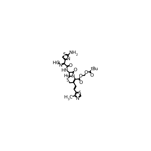 Cc1ncsc1C=CC1=C(C(=O)OCOC(=O)C(C)(C)C)N2C(=O)C(NC(=O)C(=NO)c3csc(N)n3)[C@@H]2SC1